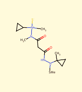 CSN(NC(=O)CC(=O)N(C)[N+](C)([S-])C1CC1)C1(C)CC1